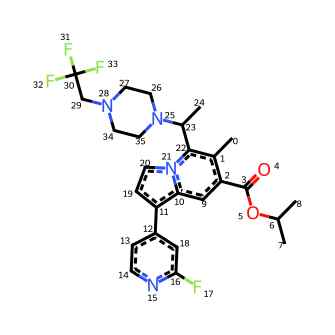 Cc1c(C(=O)OC(C)C)cc2c(-c3ccnc(F)c3)ccn2c1C(C)N1CCN(CC(F)(F)F)CC1